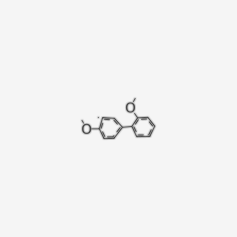 COc1[c]cc(-c2ccccc2OC)cc1